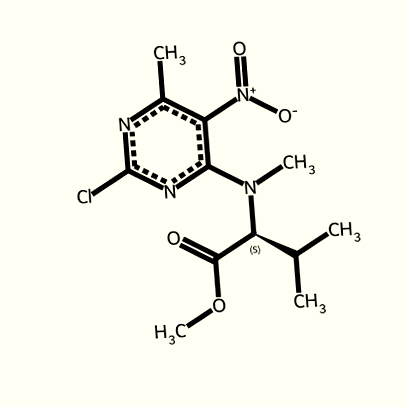 COC(=O)[C@H](C(C)C)N(C)c1nc(Cl)nc(C)c1[N+](=O)[O-]